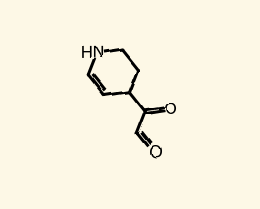 O=CC(=O)C1C=CNCC1